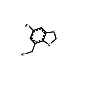 CC(C)c1cc(CO)c2c(c1)OCO2